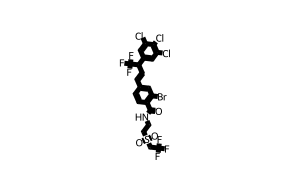 O=C(NCCS(=O)(=O)CC(F)(F)F)c1ccc(C=CC(c2cc(Cl)c(Cl)c(Cl)c2)C(F)(F)F)cc1Br